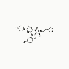 O=C(NCCN1CCCC1)c1c(=O)c2cnc(N3CCNCC3)nc2n2c1sc1ccc(Cl)cc12